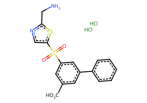 Cl.Cl.NCc1ncc(S(=O)(=O)c2cc(C(=O)O)cc(-c3ccccc3)c2)s1